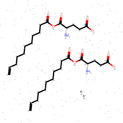 C=CCCCCCCCCC(=O)OC(=O)[C@@H](N)CCC(=O)[O-].C=CCCCCCCCCC(=O)OC(=O)[C@@H](N)CCC(=O)[O-].[K+].[K+]